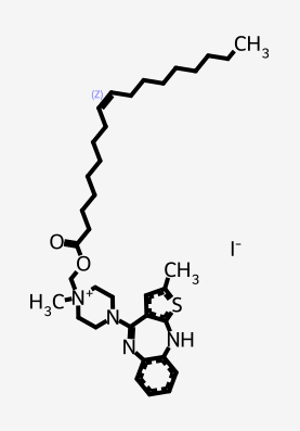 CCCCCCCC/C=C\CCCCCCCC(=O)OC[N+]1(C)CCN(C2=Nc3ccccc3Nc3sc(C)cc32)CC1.[I-]